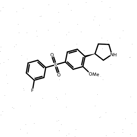 COc1cc(S(=O)(=O)c2cccc(F)c2)ccc1[C@H]1CCNC1